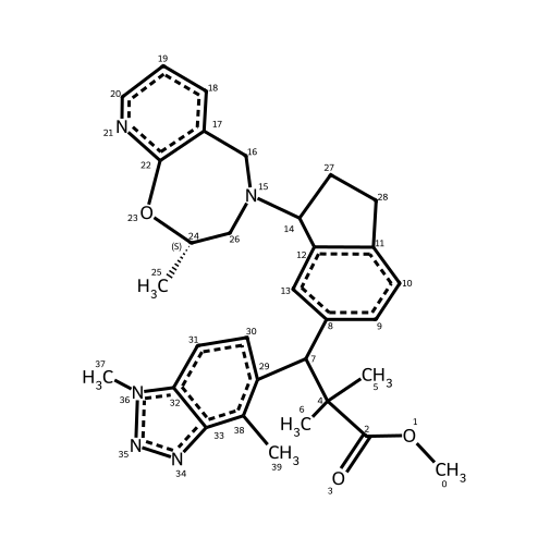 COC(=O)C(C)(C)C(c1ccc2c(c1)C(N1Cc3cccnc3O[C@@H](C)C1)CC2)c1ccc2c(nnn2C)c1C